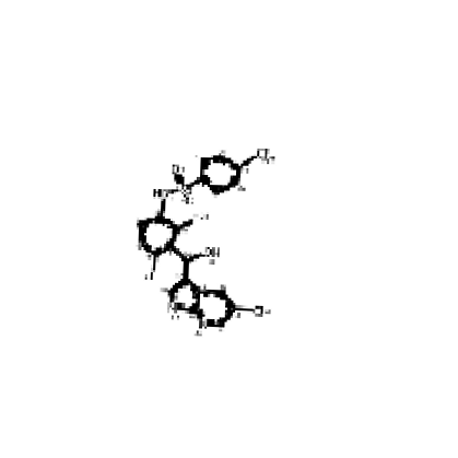 O=S(=O)(Nc1ccc(F)c(C(O)c2c[nH]c3ncc(Cl)cc23)c1F)c1ccc(C(F)(F)F)cc1